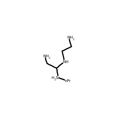 CCC[SiH2]C(CN)NCCN